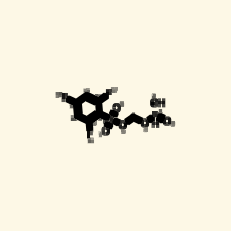 O=[PH](O)OCOS(=O)(=O)c1c(F)cc(F)cc1F